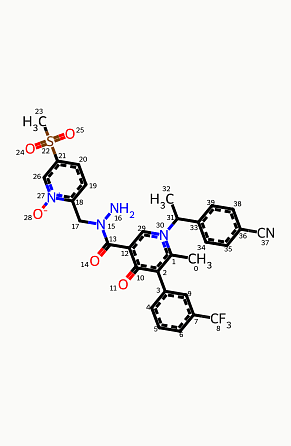 Cc1c(-c2cccc(C(F)(F)F)c2)c(=O)c(C(=O)N(N)Cc2ccc(S(C)(=O)=O)c[n+]2[O-])cn1C(C)c1ccc(C#N)cc1